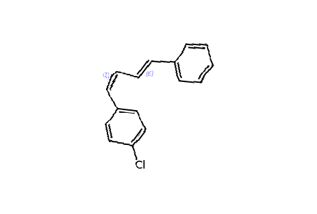 Clc1ccc(/C=C\C=C\c2ccccc2)cc1